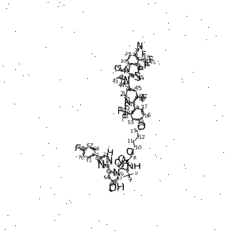 CC(C)(C)[C@H](NC(=O)COCCCCOc1ccc(-c2ncc(N3C(=S)N(c4ccc(C#N)c(C(F)(F)F)c4F)C(=O)C3(C)C)cc2F)c(C(F)(F)F)c1)C(O)N1C[C@H](O)C[C@H]1c1nc(-c2ccc(F)cc2)c[nH]1